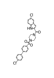 O=C(c1cc2cc(Cl)ccc2[nH]1)N1CCN(S(=O)(=O)c2ccc(-c3ccc(Cl)cc3)cc2)CC1